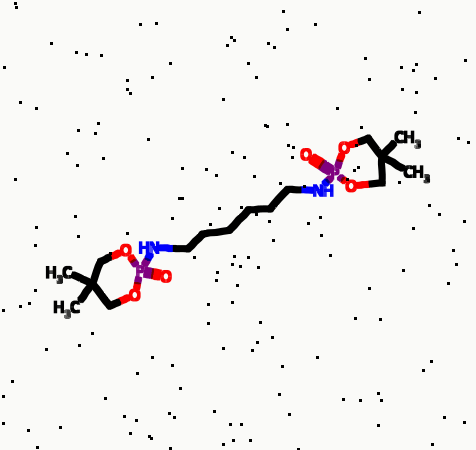 CC1(C)COP(=O)(NCCCCCCNP2(=O)OCC(C)(C)CO2)OC1